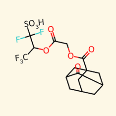 O=C(COC(=O)C12CC3CC(C1)C(=O)C(C3)C2)OC(C(F)(F)F)C(F)(F)S(=O)(=O)O